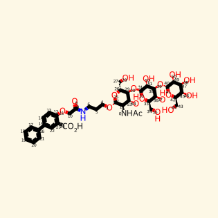 CC(=O)N[C@H]1[C@H](OCCCNC(=O)COc2ccc(-c3ccccc3)cc2C(=O)O)O[C@H](CO)[C@@H](O[C@@H]2O[C@H](CO)[C@H](O)[C@H](O[C@H]3O[C@H](CO)[C@H](O)[C@H](O)[C@H]3O)[C@H]2O)[C@@H]1O